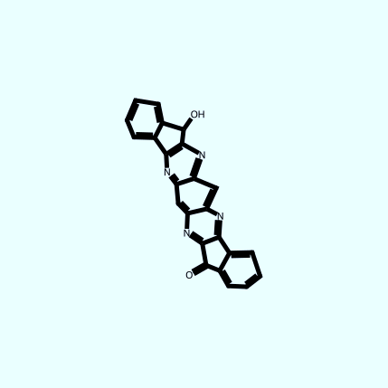 O=C1c2ccccc2-c2nc3cc4nc5c(nc4cc3nc21)-c1ccccc1C5O